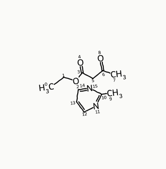 CCOC(=O)CC(C)=O.Cc1ncccn1